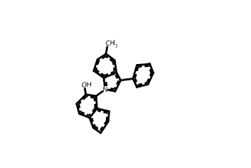 Cc1ccc2c(c1)c(-c1ccccc1)cn2-c1c(O)ccc2ccccc12